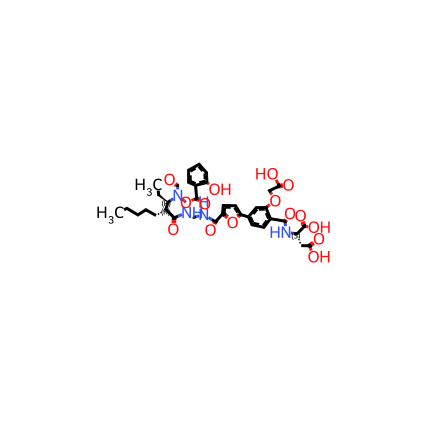 CCCCC[C@@H](C(=O)NCNC(=O)c1ccc(-c2ccc(C(=O)N[C@@H](CC(=O)O)C(=O)O)c(OCC(=O)O)c2)o1)[C@@H](CC)N(C=O)OC(=O)c1ccccc1O